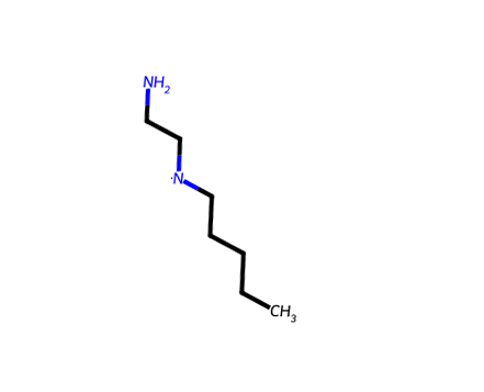 CCCCC[N]CCN